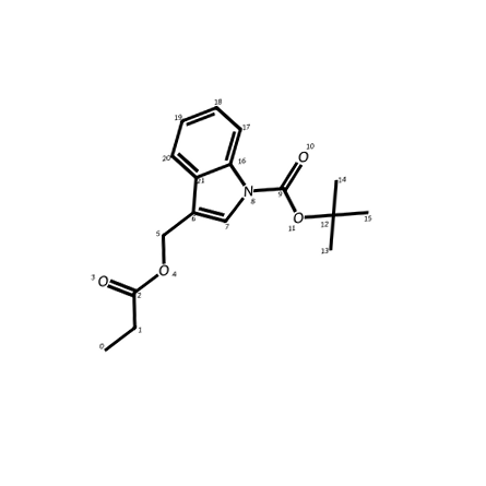 CCC(=O)OCc1cn(C(=O)OC(C)(C)C)c2ccccc12